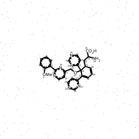 COc1ccccc1-c1nccc(COC2(c3ccncn3)C(c3ccncn3)=CC=CC2CC(N)C(=O)O)n1